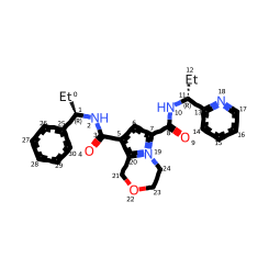 CC[C@@H](NC(=O)c1cc(C(=O)N[C@H](CC)c2ccccn2)n2c1COCC2)c1ccccc1